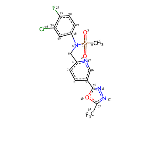 CS(=O)(=O)N(Cc1ccc(-c2nnc(C(F)(F)F)o2)cn1)c1ccc(F)c(Cl)c1